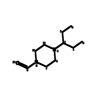 CCC(CC)N1CCN(C=O)CC1